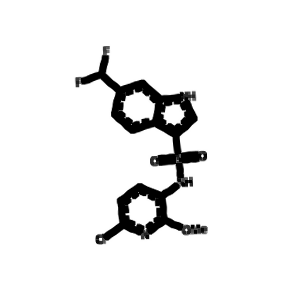 COc1nc(Cl)ccc1NS(=O)(=O)c1c[nH]c2cc(C(F)F)ccc12